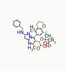 Cc1nc2cc(NCc3ccccc3)nn2c(-c2cc(F)c3c(c2C)CCCO3)c1[C@H](OC(C)(C)C)C(=O)O